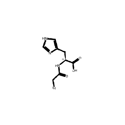 [2H]CC(=O)N[C@@H](Cc1c[nH]cn1)C(=O)O